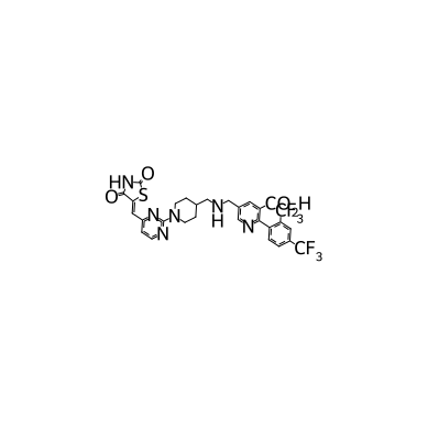 O=C1NC(=O)C(=Cc2ccnc(N3CCC(CNCc4cnc(-c5ccc(C(F)(F)F)cc5C(F)(F)F)c(C(=O)O)c4)CC3)n2)S1